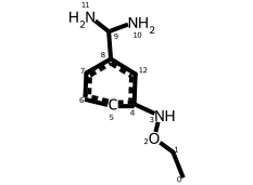 CCONc1cccc(C(N)N)c1